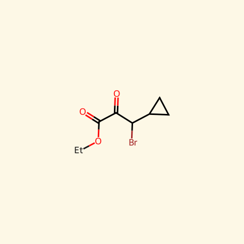 CCOC(=O)C(=O)C(Br)C1CC1